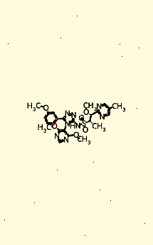 COc1cccc(-c2nnc(NS(=O)(=O)[C@@H](C)[C@H](OC)c3ncc(C)cn3)n2-c2c(OC)ncnc2OC)c1